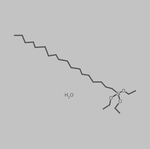 CCCCCCCCCCCCCCCCCC[Si](OCC)(OCC)OCC.O